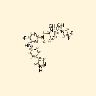 C[N+]1=C2CN(c3ncc(F)c(Nc4ccc(-c5cn[nH]c5)cc4)n3)CCC2C=C1C(O)N1CC(F)(F)C1